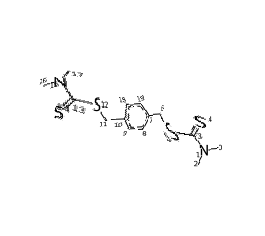 CN(C)C(=S)SCc1ccc(CSC(=S)N(C)C)cc1